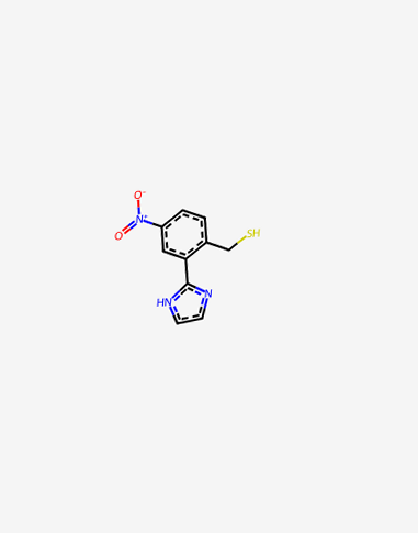 O=[N+]([O-])c1ccc(CS)c(-c2ncc[nH]2)c1